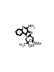 COCCc1nc2c(N)nc3ccccc3c2n1CC(C)(C)O